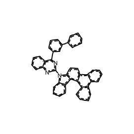 c1ccc(-c2cccc(-c3nc(-n4c5ccccc5c5c6c7ccccc7c7ccccc7c6ccc54)nc4ccccc34)c2)cc1